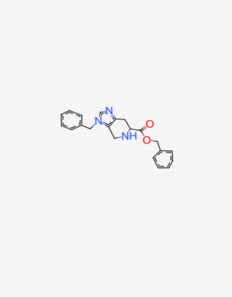 O=C(OCc1ccccc1)C1Cc2ncn(Cc3ccccc3)c2CN1